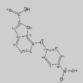 O=C(O)c1cc2cccc(Oc3ccc([N+](=O)[O-])cc3)c2o1